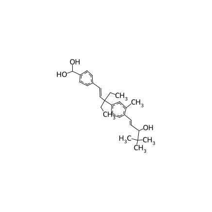 CCC(C=Cc1ccc(C(O)O)cc1)(CC)c1ccc(C=CC(O)C(C)(C)C)c(C)c1